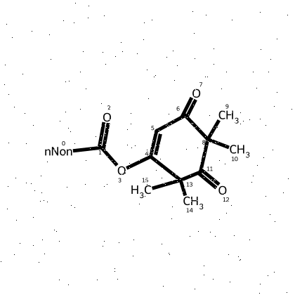 CCCCCCCCCC(=O)OC1=CC(=O)C(C)(C)C(=O)C1(C)C